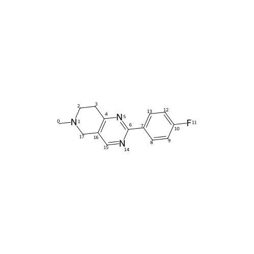 CN1CCc2nc(-c3ccc(F)cc3)ncc2C1